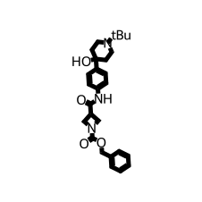 CC(C)(C)N1CCC(O)(c2ccc(NC(=O)C3CN(C(=O)OCc4ccccc4)C3)cc2)CC1